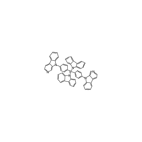 c1ccc2c(c1)c1ccncc1n2-c1ccc([Si](c2ccc(-n3c4ccccc4c4ccncc43)cc2)(n2c3ccccc3c3ccccc32)n2c3ccccc3c3ccccc32)cc1